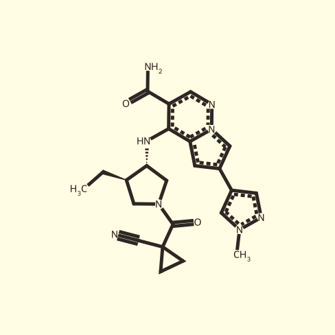 CC[C@@H]1CN(C(=O)C2(C#N)CC2)C[C@H]1Nc1c(C(N)=O)cnn2cc(-c3cnn(C)c3)cc12